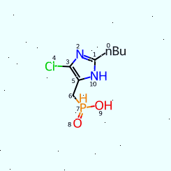 CCCCc1nc(Cl)c(C[PH](=O)O)[nH]1